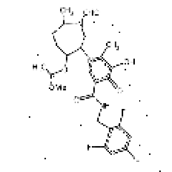 COC(C)OC1CCC(C)N(C=O)CC1n1cc(C(=O)NCc2c(F)cc(F)cc2F)c(=O)c(O)c1C